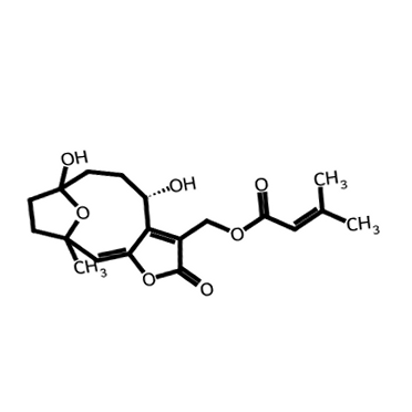 CC(C)=CC(=O)OCC1=C2/C(=C\C3(C)CCC(O)(CC[C@@H]2O)O3)OC1=O